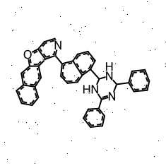 c1ccc(C2=NC(c3ccccc3)NC(c3cccc4c(-c5nccc6oc7cc8ccccc8cc7c56)cccc34)N2)cc1